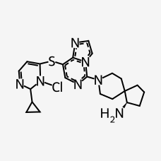 N[C@@H]1CCCC12CCN(c1ncc(SC3=CC=NC(C4CC4)N3Cl)c3nccn13)CC2